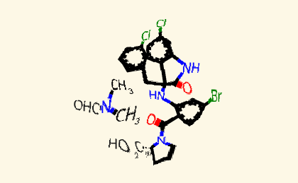 CN(C)C=O.O=C(O)[C@H]1CCCN1C(=O)c1ccc(Br)cc1NC1(Cc2cccc(Cl)c2)C(=O)Nc2cc(Cl)ccc21